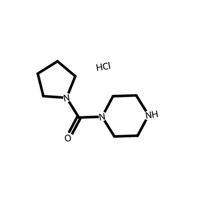 Cl.O=C(N1CCCC1)N1CCNCC1